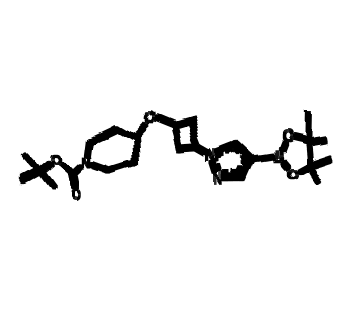 CC(C)(C)OC(=O)N1CCC(OC2CC(n3cc(B4OC(C)(C)C(C)(C)O4)cn3)C2)CC1